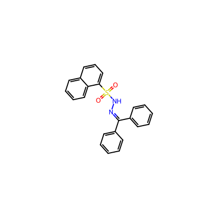 O=S(=O)(NN=C(c1ccccc1)c1ccccc1)c1cccc2ccccc12